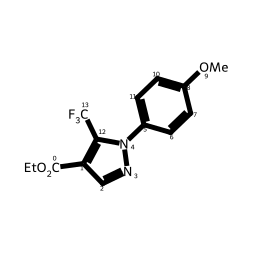 CCOC(=O)c1cnn(-c2ccc(OC)cc2)c1C(F)(F)F